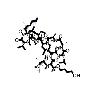 C/C=C/C[C@@H](C)[C@H]1ON(C(=O)[C@H](C(C)C)N(C)C(=O)[C@H](CC(C)C)N(C)C(=O)[C@H](CC(C)C)N(C)C(=O)[C@@H](C)NC(=O)[C@H](C)NC(=O)[C@H](CC(C)C)N(C)C(=O)[C@@H](NC(=O)[C@H]([C@H](C)OCCCCO)N(C)C(=O)[C@@H](C)NC)C(C)C)[C@@H]1C(=O)N[C@@H](CC)C(=O)O